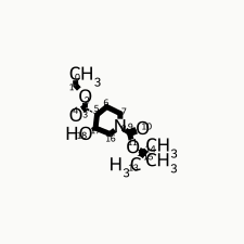 CCOC(=O)[C@@H]1CCN(C(=O)OC(C)(C)C)C[C@H]1O